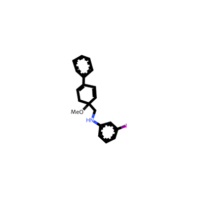 COC1(CNc2cccc(I)c2)C=CC(c2ccccc2)=CC1